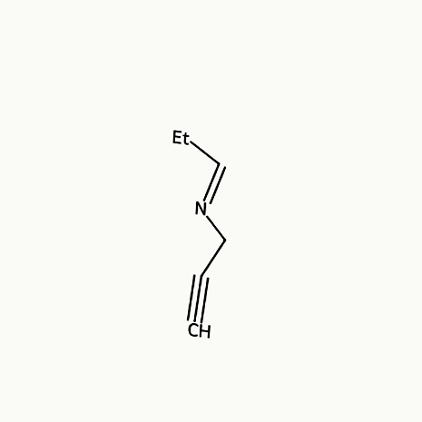 C#CCN=CCC